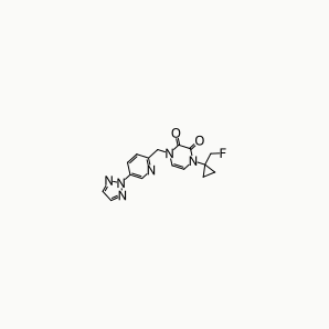 O=c1c(=O)n(C2(CF)CC2)ccn1Cc1ccc(-n2nccn2)cn1